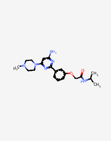 CC(C)NC(=O)COc1cccc(-c2nc(N)cc(N3CCN(C)CC3)n2)c1